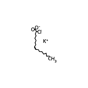 CCCCCCCC/C=C\CCCCCCC(Cl)C(=O)[O-].[K+]